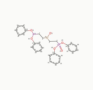 O=P(CC[S+]([O-])CCP(Oc1ccccc1)Oc1ccccc1)(Oc1ccccc1)Oc1ccccc1